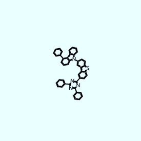 c1ccc(-c2nc(-c3ccccc3)nc(-c3ccc4sc5ccc(-n6c7ccccc7c7c(-c8ccccc8)cccc76)cc5c4c3)n2)cc1